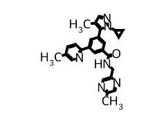 Cc1ccc(-c2cc(C(=O)NCc3cnc(C)cn3)cc(-c3c(C)cnn3C3CC3)c2)nc1